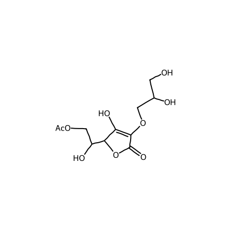 CC(=O)OCC(O)C1OC(=O)C(OCC(O)CO)=C1O